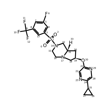 O=S(=O)(c1cc(F)cc(C(F)(F)F)c1)N1CCN2C[C@H](Oc3cnc(C4CC4)cn3)C[C@H]2C1